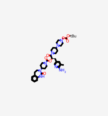 Cc1cc(C[C@@H](OC(=O)N2CCC(N3CCc4ccccc4NC3=O)CC2)C(=O)N2CCC(N3CCN(OC(=O)OC(C)(C)C)CC3)CC2)cnc1N